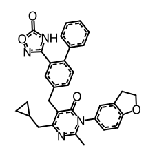 Cc1nc(CC2CC2)c(Cc2ccc(-c3ccccc3)c(-c3noc(=O)[nH]3)c2)c(=O)n1-c1ccc2c(c1)CCO2